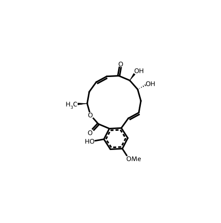 COc1cc(O)c2c(c1)/C=C/C[C@@H](O)[C@H](O)C(=O)/C=C\C[C@H](C)OC2=O